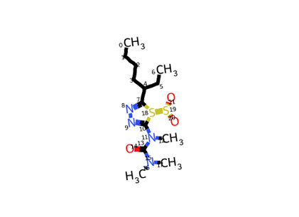 CCCCC(CC)C1=NN=C(N(C)C(=O)N(C)C)S1=S(=O)=O